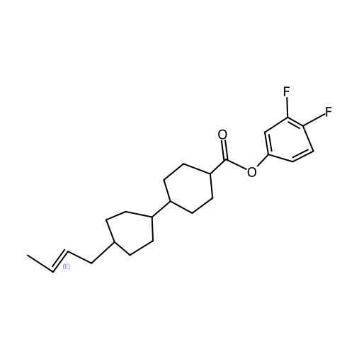 C/C=C/CC1CCC(C2CCC(C(=O)Oc3ccc(F)c(F)c3)CC2)CC1